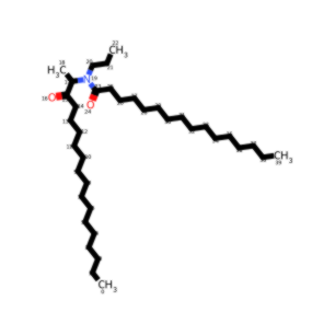 CCCCCCCCCCCCCCCC(=O)C(C)N(CCC)C(=O)CCCCCCCCCCCCCCC